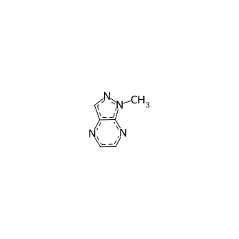 Cn1ncc2nccnc21